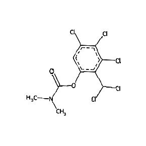 CN(C)C(=O)Oc1cc(Cl)c(Cl)c(Cl)c1C(Cl)Cl